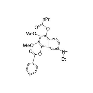 CCCC(=O)Oc1c(OC)c(OC)c(OC(=O)c2ccccc2)c2cc(N(C)CC)ccc12